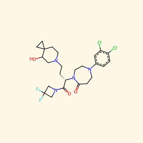 O=C([C@H](CCN1CCC2(CC2)C(O)C1)N1CCN(c2ccc(Cl)c(Cl)c2)CCC1=O)N1CC(F)(F)C1